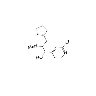 CNC(CN1CCCC1)C(O)c1ccnc(Cl)c1